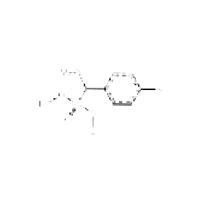 CCOP(=O)(OCC)C(OC)c1ccc(Br)cc1